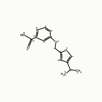 CC(C)c1csc(COc2ccnc(C(=O)O)c2)n1